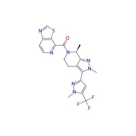 C[C@H]1c2nn(C)c(-c3cc(C(F)(F)F)n(C)n3)c2CCN1C(=O)c1nccc2ncsc12